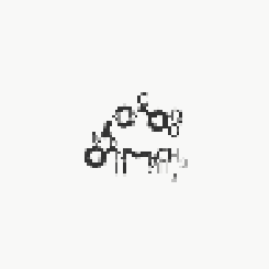 CN(C)CCCNc1nc(CN2CCN(C(=O)c3ccc4c(c3)OCO4)CC2)nc2ccccc12